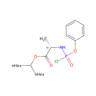 CCCCCCC(CCCCCC)OC(=O)[C@H](C)NP(=O)(Cl)Oc1ccccc1